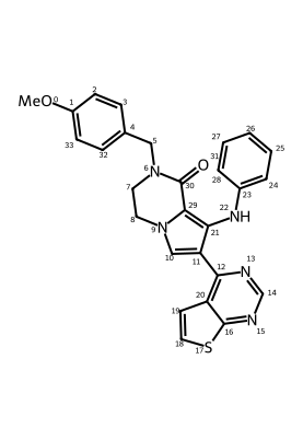 COc1ccc(CN2CCn3cc(-c4ncnc5sccc45)c(Nc4ccccc4)c3C2=O)cc1